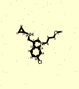 COCCCn1cc(CNC2CC2)c2ccc(Cl)cc21